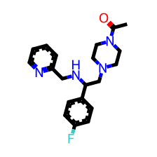 CC(=O)N1CCN(CC(NCc2ccccn2)c2ccc(F)cc2)CC1